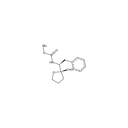 CC(C)(C)OC(=O)N[C@@H](Cc1ccccc1)[C@]1(C=O)CCCO1